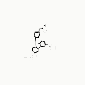 COC(=O)Cc1ccc(Cn2c3ccc(OC)cc3c3cc(OC)ccc32)cc1